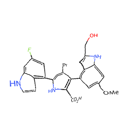 COc1cc(-c2c(C(=O)O)[nH]c(-c3cc(F)cc4[nH]ccc34)c2C(C)C)c2cc(CO)[nH]c2c1